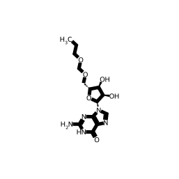 CCCOCOC[C@H]1O[C@@H](n2cnc3c(=O)[nH]c(N)nc32)[C@H](O)[C@@H]1O